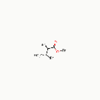 CC(C)OC(=O)[C@H](C(C)C)[C@@H](C(=O)O)C(C)C